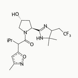 Cc1cc(C(C(=O)N2C[C@H](O)C[C@H]2C2=NC(CC(F)(F)F)C(C)(C)N2)C(C)C)on1